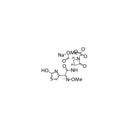 CO/N=C(\C(=O)N[C@H]1C(=O)N(S(=O)(=O)[O-])[C@H]1C(=O)OC)c1csc(O)n1.[Na+]